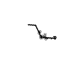 CCCCCCCC/C=C\CCCCCCCC(=O)OCCCOP(=O)(O)OCCNC(=O)/C=C(C)/C=C/C=C(C)/C=C/C1=C(C)CCCC1(C)C